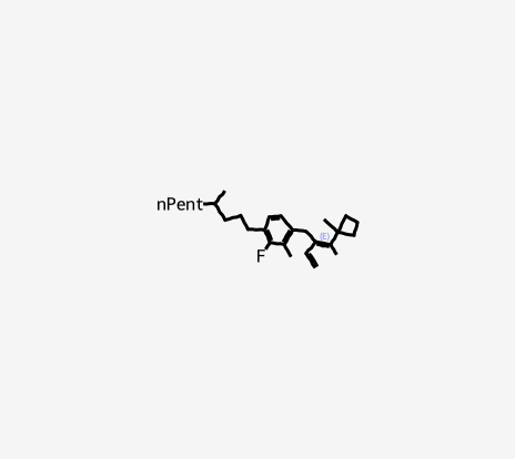 C=C/C(Cc1ccc(CCCC(C)CCCCC)c(F)c1C)=C(\C)C1(C)CCC1